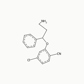 N#Cc1ccc(Cl)cc1OC(CCN)c1ccccc1